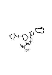 O=C(NO)[C@H]1C[C@H](N2CCOCC2)CC[C@@H]1C(=O)N1CC[C@H](c2ccccc2)C1